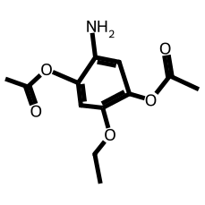 CCOc1cc(OC(C)=O)c(N)cc1OC(C)=O